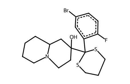 OC1(C2(c3cc(Br)ccc3F)SCCCS2)CCN2CCCCC2C1